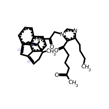 CCCCc1ncn(CC(=O)N/C2=C/C=C\C(c3cccc4ccccc34)=C\CC2C)c1C(=O)CCCC(C)=O